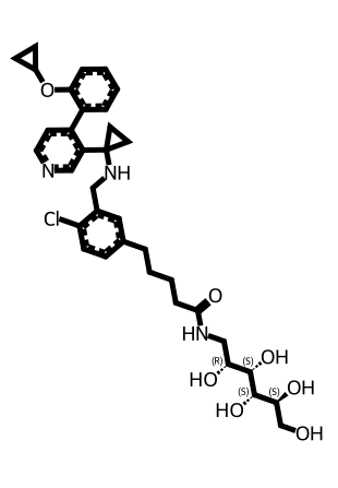 O=C(CCCCc1ccc(Cl)c(CNC2(c3cnccc3-c3ccccc3OC3CC3)CC2)c1)NC[C@@H](O)[C@H](O)[C@@H](O)[C@@H](O)CO